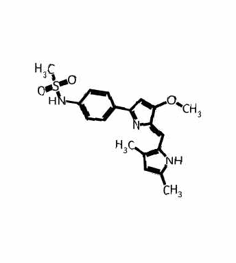 COC1=CC(c2ccc(NS(C)(=O)=O)cc2)=NC1=Cc1[nH]c(C)cc1C